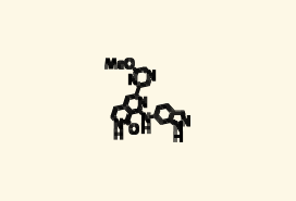 COc1cncc(-c2cc3cc[nH]c(=O)c3c(Nc3ccc4cn[nH]c4c3)n2)n1